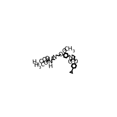 COc1cc(N2CC=C(Oc3ccc(C4CC4)cc3)C2=O)ccc1OCCN1CC(NC(=O)OC(C)(C)C)C1